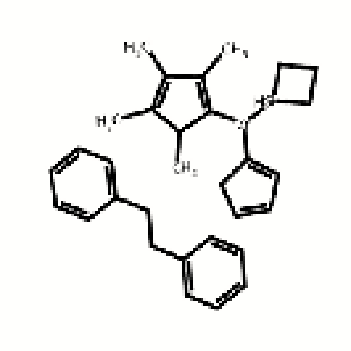 CC1=C(C)C(C)[C]([Zr]([C]2=CC=CC2)[SiH]2CCC2)=C1C.c1ccc(CCc2ccccc2)cc1